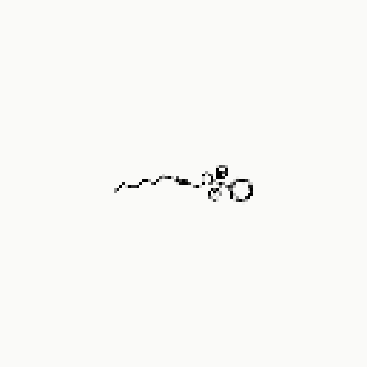 CCCCCCC#CCOS(=O)(=O)c1ccccc1